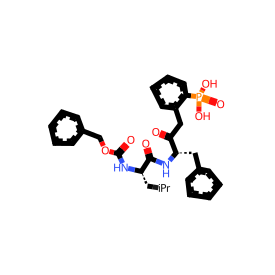 CC(C)C[C@H](NC(=O)OCc1ccccc1)C(=O)N[C@@H](Cc1ccccc1)C(=O)Cc1ccccc1P(=O)(O)O